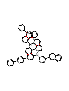 c1ccc(-c2ccc(-c3ccc(N(c4cccc(-c5ccc6ccccc6c5)c4)c4ccccc4-c4ccccc4N(c4ccccc4-c4ccc(-c5ccccc5)cc4)c4cccc5sc6ccccc6c45)cc3)cc2)cc1